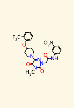 Cn1c(=O)c(N2CCC(Oc3ccccc3C(F)(F)F)CC2)nn(CC(=O)Nc2cccc([N+](=O)[O-])c2)c1=O